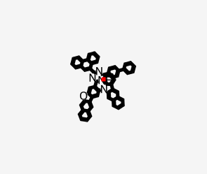 c1ccc(-c2ccc(C3=NC(c4cc5ccccc5c5ccccc45)=NC(c4cc5oc6cc7ccccc7cc6c5cc4-n4c5ccccc5c5cc6ccccc6cc54)N3)cc2)cc1